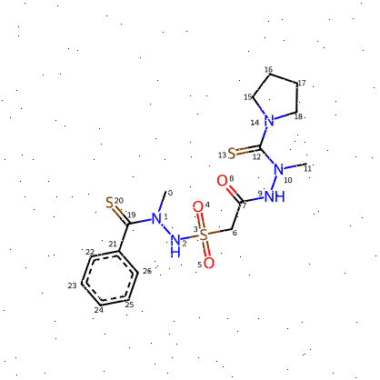 CN(NS(=O)(=O)CC(=O)NN(C)C(=S)N1CCCC1)C(=S)c1ccccc1